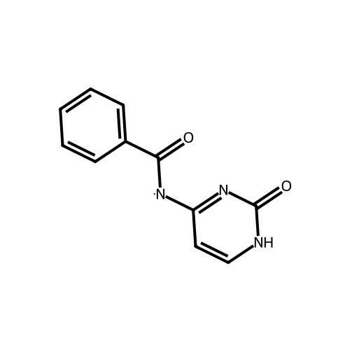 O=C([N]c1cc[nH]c(=O)n1)c1ccccc1